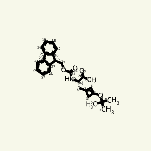 CC(C)(C)OC12CC(C[C@H](NC(=O)OCC3c4ccccc4-c4ccccc43)C(=O)O)(C1)C2